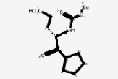 CC(C)(C)OC(=O)N[C@@H](CCC(=O)O)C(=O)C1CCCC1